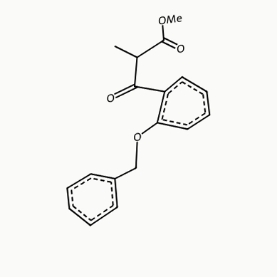 COC(=O)C(C)C(=O)c1ccccc1OCc1ccccc1